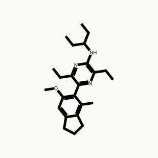 CCc1nc(-c2c(OC)cc3c(c2C)CCC3)c(CC)nc1NC(CC)CC